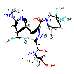 C[C@H](NC(=O)c1nc(C(=O)N2CC(F)(F)C[C@@H]2C)c(-c2cnc(NC(C)(C)C)cc2C(F)F)s1)C(C)(C)O